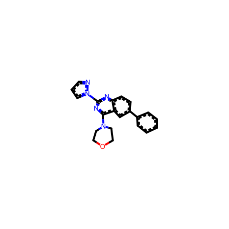 c1ccc(-c2ccc3nc(-n4cccn4)nc(N4CCOCC4)c3c2)cc1